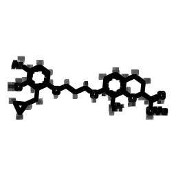 CCCc1c(OCCCOc2ccc(C(C)=O)c(O)c2CC2CC2)ccc2c1OC(C(=O)OC)CC2